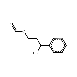 O=COCCC(O)c1ccccc1